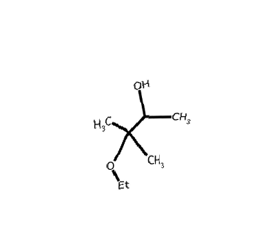 CCOC(C)(C)C(C)O